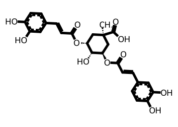 C[C@]1(C(=O)O)C[C@@H](OC(=O)/C=C/c2ccc(O)c(O)c2)[C@H](O)[C@H](OC(=O)/C=C/c2ccc(O)c(O)c2)C1